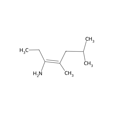 CCC(N)=C(C)CC(C)C